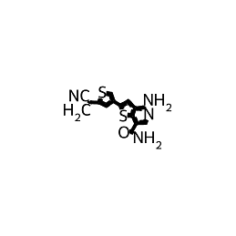 C=C(C#N)c1cc(-c2cc3c(N)ncc(C(N)=O)c3s2)cs1